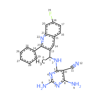 CC(Nc1nc(N)nc(N)c1C#N)c1cc2ccc(F)cc2nc1-c1ccccc1